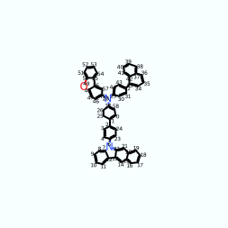 C1=C(c2ccc(-n3c4ccccc4c4cc5ccccc5cc43)cc2)CCC(N(c2ccc(-c3cccc4ccccc34)cc2)c2ccc3oc4ccccc4c3c2)=C1